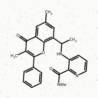 CNC(=O)c1ncccc1NC(C)c1cc(C)cc2c(=O)c(C)c(-c3ccccc3)oc12